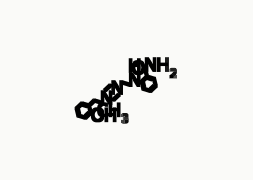 CC(Cc1ccccc1O)N1CCN(CCNc2ccccc2C(N)=O)CC1